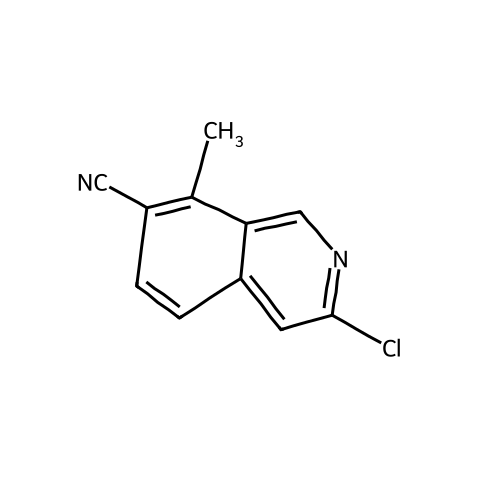 Cc1c(C#N)ccc2cc(Cl)ncc12